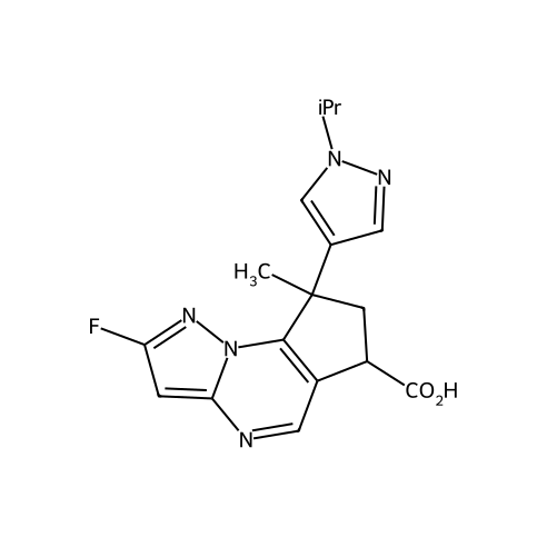 CC(C)n1cc(C2(C)CC(C(=O)O)c3cnc4cc(F)nn4c32)cn1